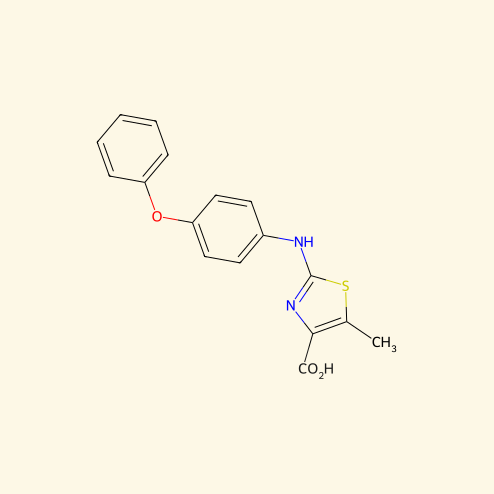 Cc1sc(Nc2ccc(Oc3ccccc3)cc2)nc1C(=O)O